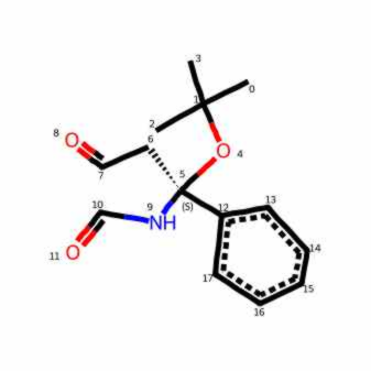 CC(C)(C)O[C@](CC=O)(NC=O)c1ccccc1